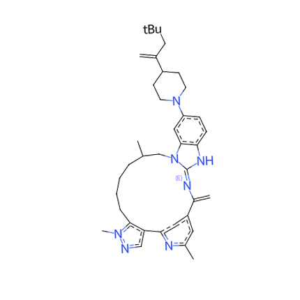 C=C1/N=C2\Nc3ccc(N4CCC(C(=C)CC(C)(C)C)CC4)cc3N2CC(C)CCCCc2c(cnn2C)-c2cc1cc(C)n2